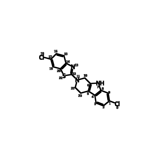 Clc1ccc2c3c([nH]c2c1)CN(c1nc2ccc(Cl)cc2s1)CC3